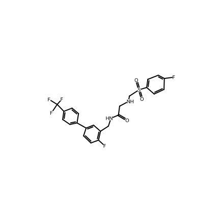 O=C(CNCS(=O)(=O)c1ccc(F)cc1)NCc1cc(-c2ccc(C(F)(F)F)cc2)ccc1F